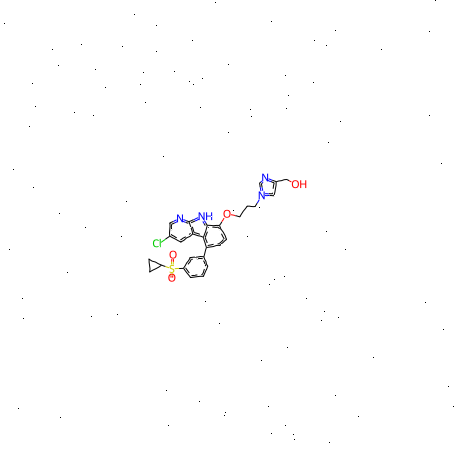 O=S(=O)(c1cccc(-c2ccc(OCCCn3cnc(CO)c3)c3[nH]c4ncc(Cl)cc4c23)c1)C1CC1